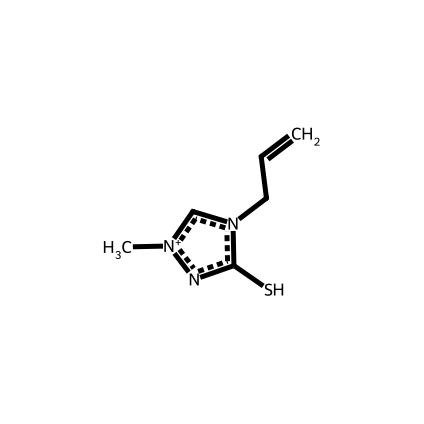 C=CCn1c[n+](C)nc1S